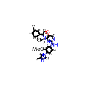 COc1cc(Nc2ncc3c(n2)N(C)C(c2cc(C)ccc2C(F)(F)F)CO3)ccc1-n1cnc(C)c1